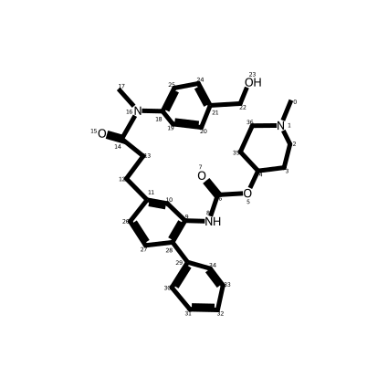 CN1CCC(OC(=O)Nc2cc(CCC(=O)N(C)c3ccc(CO)cc3)ccc2-c2ccccc2)CC1